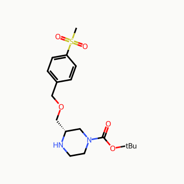 CC(C)(C)OC(=O)N1CCN[C@H](COCc2ccc(S(C)(=O)=O)cc2)C1